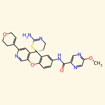 COc1cnc(C(=O)Nc2ccc3c(c2)[C@@]2(CCN=C(N)S2)c2cc(C4=CCOCC4)ncc2O3)cn1